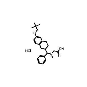 CN(CC(=O)O)C(c1ccccc1)C1CCc2cc(OCC(C)(C)C)ccc2C1.Cl